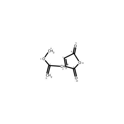 C=C(C)OC.O=C1C=CC(=O)O1